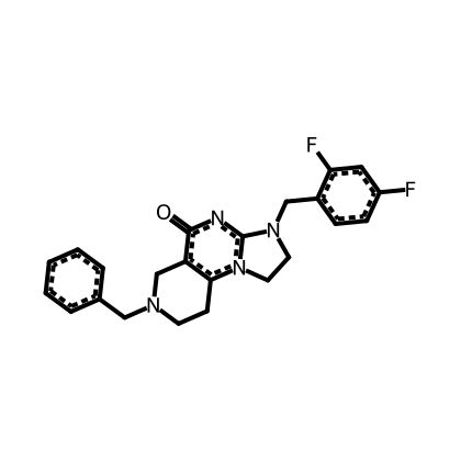 O=c1nc2n(c3c1CN(Cc1ccccc1)CC3)CCN2Cc1ccc(F)cc1F